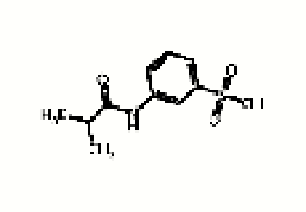 CC(C)C(=O)Nc1cccc(S(=O)(=O)O)c1